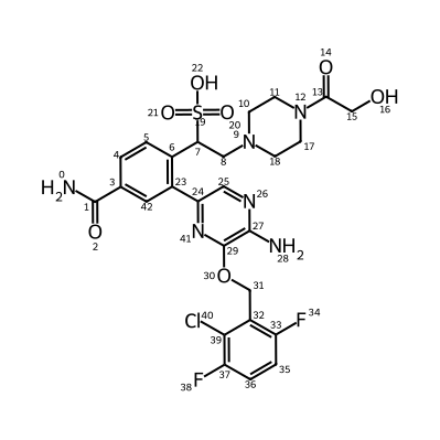 NC(=O)c1ccc(C(CN2CCN(C(=O)CO)CC2)S(=O)(=O)O)c(-c2cnc(N)c(OCc3c(F)ccc(F)c3Cl)n2)c1